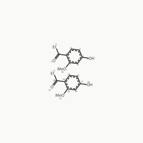 CCC(=O)c1ccc(O)cc1OC.CCC(=O)c1ccc(O)cc1OC